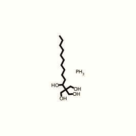 CCCCCCCCCCC(O)C(CO)(CO)CO.P